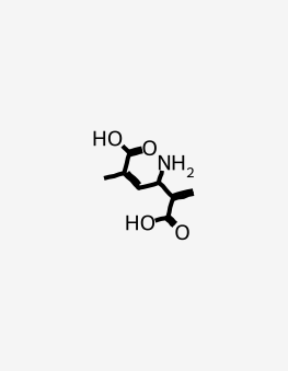 C=C(C(=O)O)C(N)C=C(C)C(=O)O